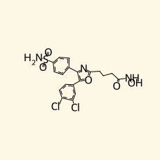 NS(=O)(=O)c1ccc(-c2nc(CCCC(=O)NO)oc2-c2ccc(Cl)c(Cl)c2)cc1